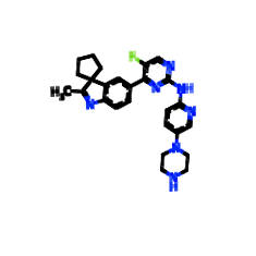 CC1=Nc2ccc(-c3nc(Nc4ccc(N5CCNCC5)cn4)ncc3F)cc2C12CCCC2